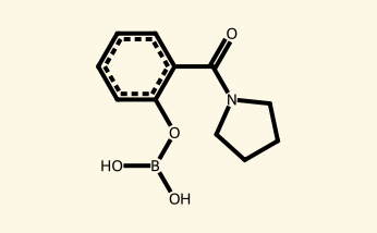 O=C(c1ccccc1OB(O)O)N1CCCC1